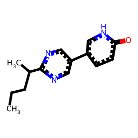 CCCC(C)c1ncc(-c2ccc(=O)[nH]c2)cn1